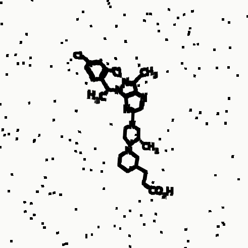 Cc1nn([C@H](C)c2ccc(Cl)cc2Cl)c2nc(N3CC[C@@H](N4CCCC(CCC(=O)O)C4)[C@@H](C)C3)cnc12